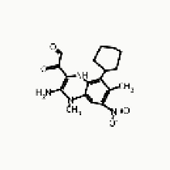 Cc1c([N+](=O)[O-])cc2c(c1C1CCCCC1)NC(C(=O)C=O)=C(N)N2C